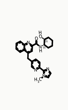 Cn1ccnc1-c1ccc(Cc2cc(C(=O)N[C@H]3CCCC[C@@H]3O)nc3ccccc23)cn1